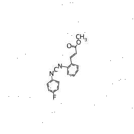 COC(=O)/C=C/c1ccccc1N=C=Nc1ccc(F)cc1